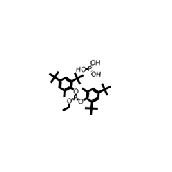 CCOP(Oc1c(C)cc(C(C)(C)C)cc1C(C)(C)C)Oc1c(C)cc(C(C)(C)C)cc1C(C)(C)C.OP(O)O